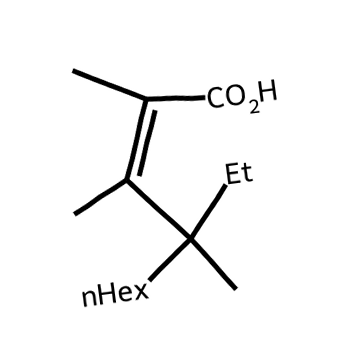 CCCCCCC(C)(CC)/C(C)=C(/C)C(=O)O